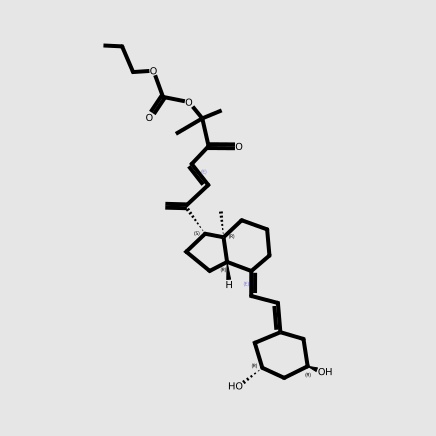 C=C(/C=C/C(=O)C(C)(C)OC(=O)OCCC)[C@H]1CC[C@H]2/C(=C/C=C3C[C@@H](O)C[C@H](O)C3)CCC[C@]12C